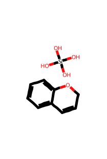 C1=Cc2ccccc2OC1.O[Si](O)(O)O